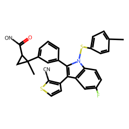 Cc1ccc(Sn2c(-c3cccc(C4(C)CC4C(=O)N=O)c3)c(-c3ccsc3C#N)c3cc(F)ccc32)cc1